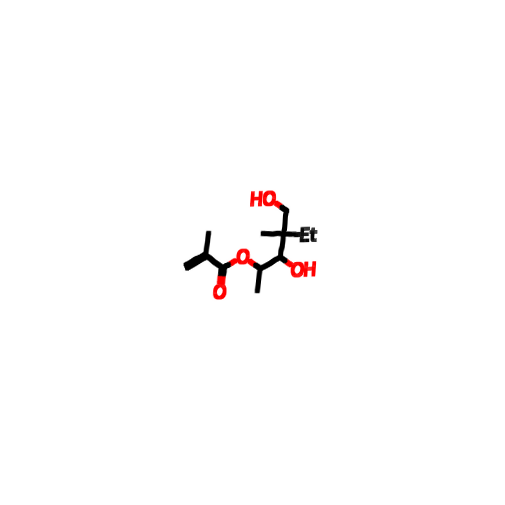 C=C(C)C(=O)OC(C)C(O)C(C)(CC)CO